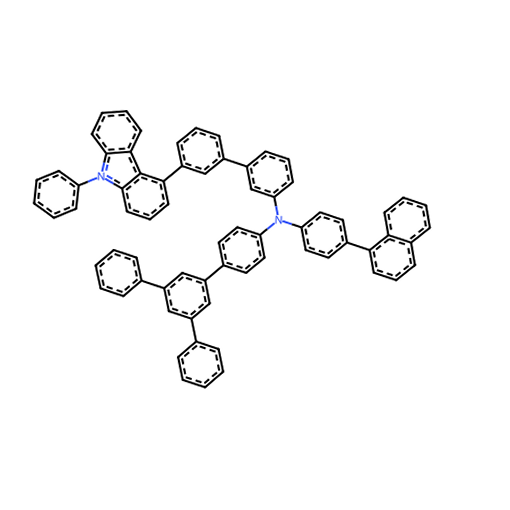 c1ccc(-c2cc(-c3ccccc3)cc(-c3ccc(N(c4ccc(-c5cccc6ccccc56)cc4)c4cccc(-c5cccc(-c6cccc7c6c6ccccc6n7-c6ccccc6)c5)c4)cc3)c2)cc1